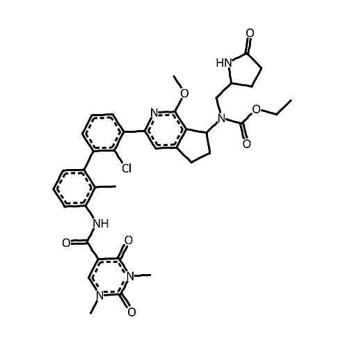 CCOC(=O)N(CC1CCC(=O)N1)C1CCc2cc(-c3cccc(-c4cccc(NC(=O)c5cn(C)c(=O)n(C)c5=O)c4C)c3Cl)nc(OC)c21